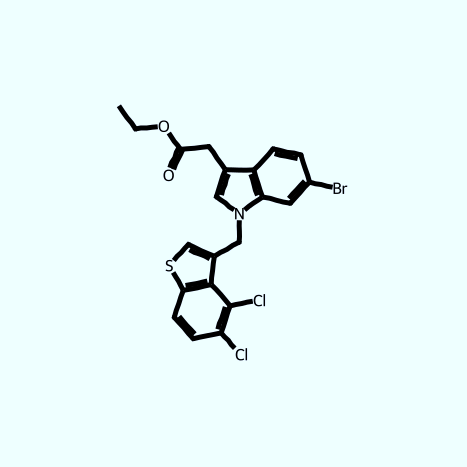 CCOC(=O)Cc1cn(Cc2csc3ccc(Cl)c(Cl)c23)c2cc(Br)ccc12